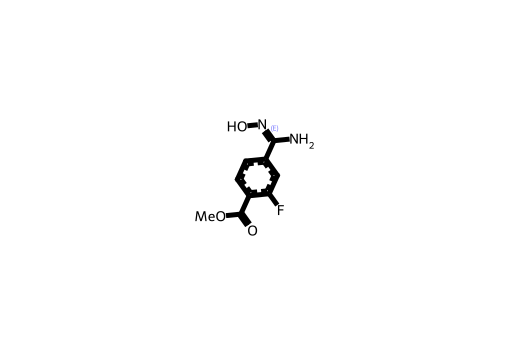 COC(=O)c1ccc(/C(N)=N\O)cc1F